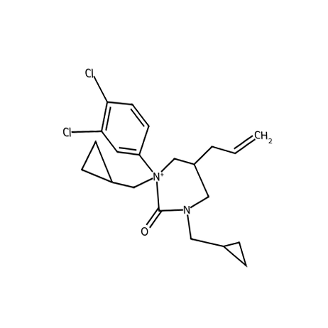 C=CCC1CN(CC2CC2)C(=O)[N+](CC2CC2)(c2ccc(Cl)c(Cl)c2)C1